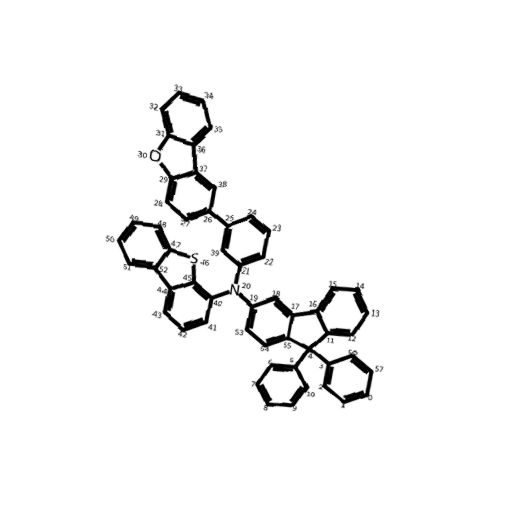 c1ccc(C2(c3ccccc3)c3ccccc3-c3cc(N(c4cccc(-c5ccc6oc7ccccc7c6c5)c4)c4cccc5c4sc4ccccc45)ccc32)cc1